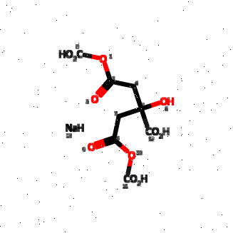 O=C(O)OC(=O)CC(O)(CC(=O)OC(=O)O)C(=O)O.[NaH]